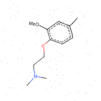 COc1cc(C)ccc1OCCN(C)C